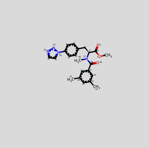 COC(=O)[C@H](Cc1ccc(-n2ccnn2)cc1)N(C)C(=O)c1cc(C)cc(C)c1